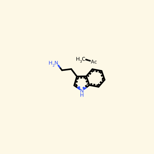 CC(C)=O.NCCc1c[nH]c2ccccc12